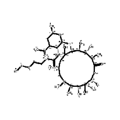 CCSSCCOC(=O)O[C@@H]1C(N(C)C)C[C@@H](C)O[C@H]1O[C@@H]1[C@@H](C)[C@H](O)[C@@H](C)C(=O)O[C@H](CC)[C@@](C)(O)[C@H](O)[C@@H](C)N(C)C[C@H](C)C[C@@]1(C)O